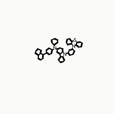 c1ccc(N(c2ccc(-c3cccc4ccccc34)cc2)c2ccc3c(c2)c2ccccc2n3-c2cccc(N3c4ccccc4Sc4ccccc43)c2)cc1